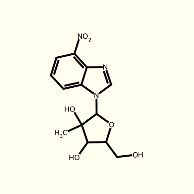 CC1(O)C(O)C(CO)OC1n1cnc2c([N+](=O)[O-])cccc21